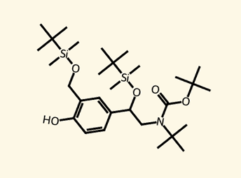 CC(C)(C)OC(=O)N(CC(O[Si](C)(C)C(C)(C)C)c1ccc(O)c(CO[Si](C)(C)C(C)(C)C)c1)C(C)(C)C